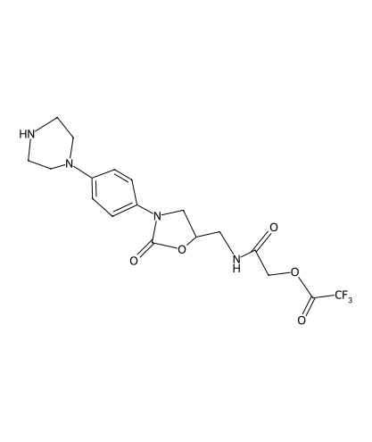 O=C(COC(=O)C(F)(F)F)NCC1CN(c2ccc(N3CCNCC3)cc2)C(=O)O1